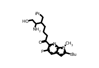 CC(C)CC(CCCC(=O)c1nc2c(cc1F)cc(C(C)(C)C)n2C)C(N)CO